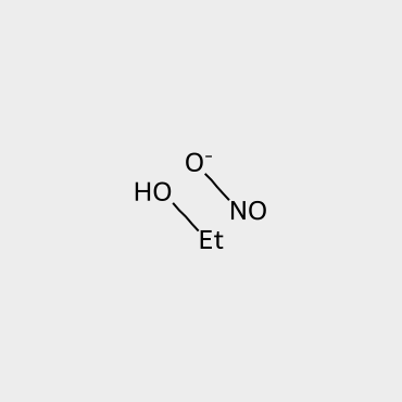 CCO.O=[NH+][O-]